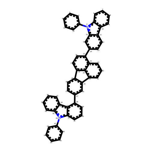 c1ccc(-n2c3ccccc3c3ccc(-c4ccc5c6c(cccc46)-c4cc(-c6cccc7c6c6ccccc6n7-c6ccccc6)ccc4-5)cc32)cc1